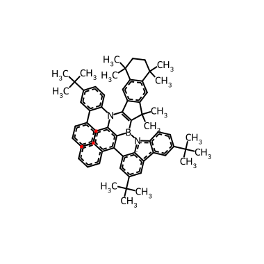 CC(C)(C)c1ccc(N2C3=C(B4c5c2cc2ccccc2c5-c2cc(C(C)(C)C)cc5c6cc(C(C)(C)C)ccc6n4c25)C(C)(C)c2cc4c(cc23)C(C)(C)CCC4(C)C)c(-c2ccccc2)c1